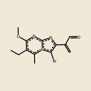 C=C(C=O)c1nc2nc(OC)c(CC)c(C)n2c1Br